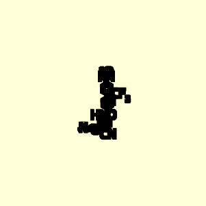 Cc1nc(-c2ccc(-c3ccc(C(=O)Nc4cc(OCCN(C)C)c(C#N)cn4)cn3)c(C(F)(F)F)c2)no1